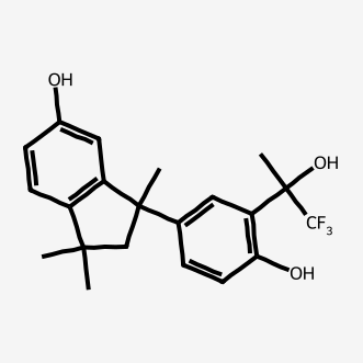 CC1(C)CC(C)(c2ccc(O)c(C(C)(O)C(F)(F)F)c2)c2cc(O)ccc21